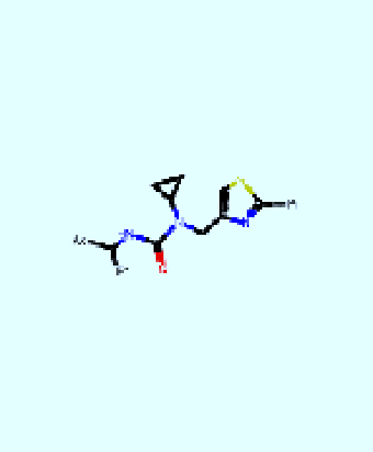 CC(=O)C(NC(=O)N(Cc1csc(C(C)C)n1)C1CC1)C(C)C